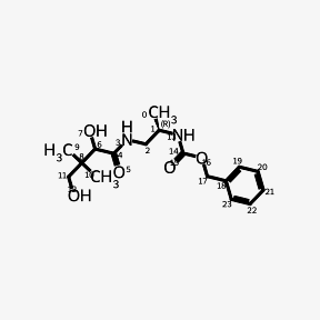 C[C@H](CNC(=O)C(O)C(C)(C)CO)NC(=O)OCc1ccccc1